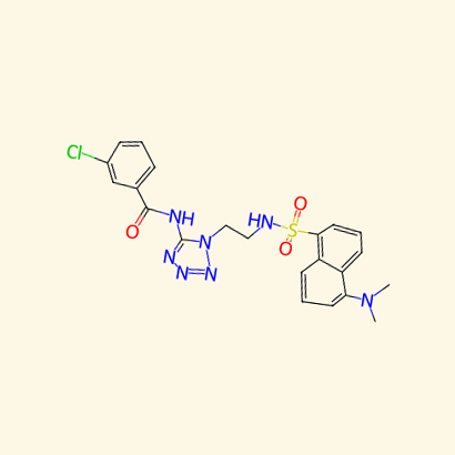 CN(C)c1cccc2c(S(=O)(=O)NCCn3nnnc3NC(=O)c3cccc(Cl)c3)cccc12